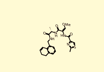 CO/C=C(/NC(=O)c1csc(C)n1)C(=O)N[C@@H](C)C(=O)NCc1cccc2c1C=CCC2